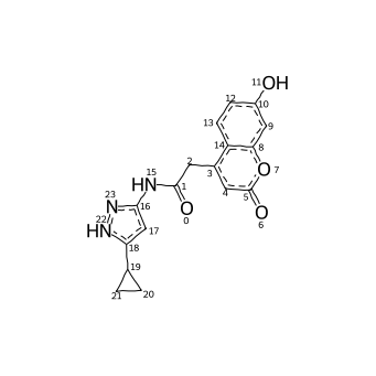 O=C(Cc1cc(=O)oc2cc(O)ccc12)Nc1cc(C2CC2)[nH]n1